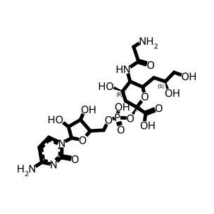 NCC(=O)NC1C(C[C@H](O)CO)O[C@](OP(=O)(O)OCC2OC(n3ccc(N)nc3=O)C(O)C2O)(C(=O)O)C[C@H]1O